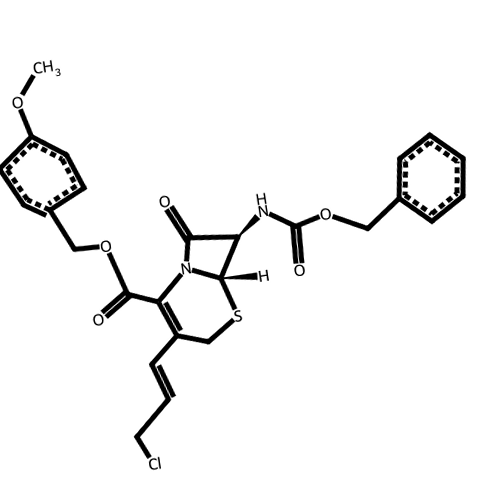 COc1ccc(COC(=O)C2=C(/C=C/CCl)CS[C@H]3[C@H](NC(=O)OCc4ccccc4)C(=O)N23)cc1